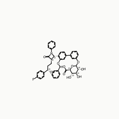 O=C(O)[C@H]1OC(Oc2cccc(-c3ccc([C@@H]4[C@@H](CC[C@H](O)c5ccc(F)cc5)C(=O)N4c4ccccc4)c(OCc4ccccc4)c3)c2)[C@H](O)[C@@H](O)[C@@H]1O